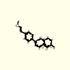 COC=Cc1ccc(-c2ccc3cc(C)ccc3c2)cc1